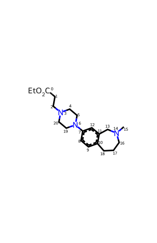 CCOC(=O)CCN1CCN(c2ccc3c(c2)CN(C)CCC3)CC1